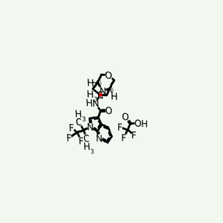 CN1[C@@H]2COC[C@H]1C[C@@H](NC(=O)c1cn(C(C)(C)C(F)(F)F)c3ncccc13)C2.O=C(O)C(F)(F)F